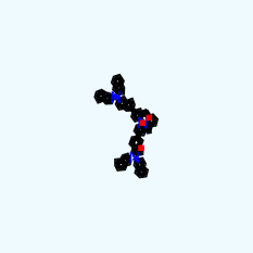 CC1(C)c2cc(-c3ccc4cc(N(c5ccc6ccccc6c5)c5ccc6ccccc6c5)ccc4c3)ccc2N2c3ccc(-c4ccc5cc(N(c6ccc7ccccc7c6)c6ccc7ccccc7c6)ccc5c4)cc3C(C)(C)c3cccc1c32